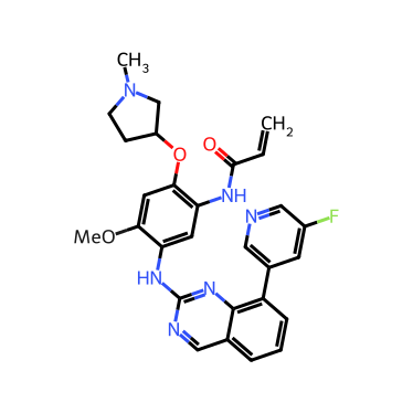 C=CC(=O)Nc1cc(Nc2ncc3cccc(-c4cncc(F)c4)c3n2)c(OC)cc1OC1CCN(C)C1